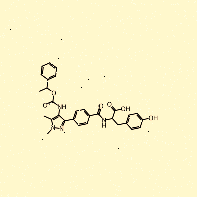 Cc1c(NC(=O)OC(C)c2ccccc2)c(-c2ccc(C(=O)NC(Cc3ccc(O)cc3)C(=O)O)cc2)nn1C